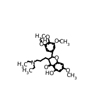 CCN(CC)CCCC1C(=O)c2c(O)cc(OC)cc2OC1c1cc(OC)c(OC)c(OC)c1